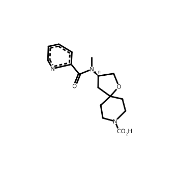 CN(C(=O)c1ccccn1)[C@H]1COC2(CCN(C(=O)O)CC2)C1